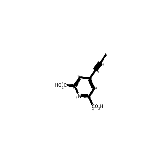 CC#Cc1cc(C(=O)O)nc(C(=O)O)c1